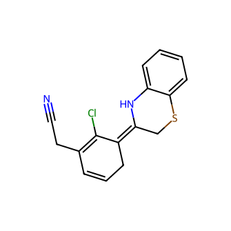 N#CCC1=C(Cl)C(=C2CSc3ccccc3N2)CC=C1